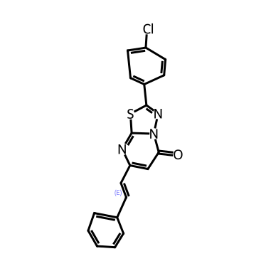 O=c1cc(/C=C/c2ccccc2)nc2sc(-c3ccc(Cl)cc3)nn12